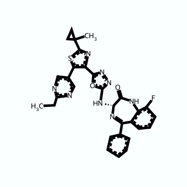 CCc1ncc(-c2sc(C3(C)CC3)nc2-c2nnc(N[C@H]3N=C(c4ccccc4)c4cccc(F)c4NC3=O)o2)cn1